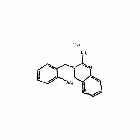 COc1ccccc1CN1Cc2ccccc2N=C1N.Cl